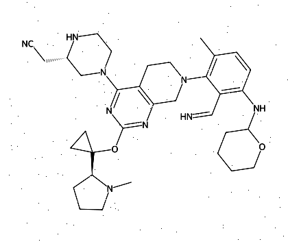 Cc1ccc(NC2CCCCO2)c(C=N)c1N1CCc2c(nc(OC3([C@@H]4CCCN4C)CC3)nc2N2CCN[C@@H](CC#N)C2)C1